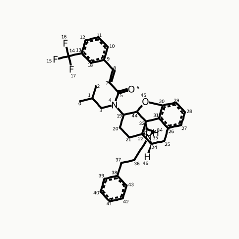 CC(C)CN(C(=O)/C=C/c1cccc(C(F)(F)F)c1)C1CC[C@@]2(O)[C@H]3Cc4cccc5c4[C@@]2(CCN3CCc2ccccc2)C1O5